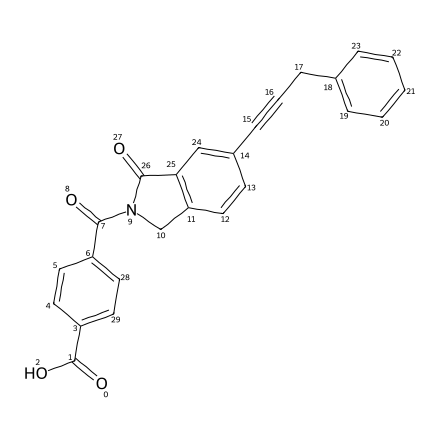 O=C(O)c1ccc(C(=O)N2Cc3ccc(C#CCc4ccccc4)cc3C2=O)cc1